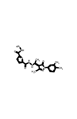 CCCNC(=O)c1ccc(C(=O)NNC(C)=C2C(=O)N(c3ccc(C)c(C)c3)N=C2C)s1